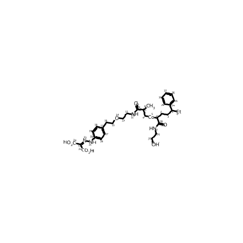 CCC(CC[CH]([Co][CH2]C(C)C(=O)NCCOCCc1ccc(NN=C(C(=O)O)C(=O)O)cc1)C(=O)NCCO)c1ccccc1